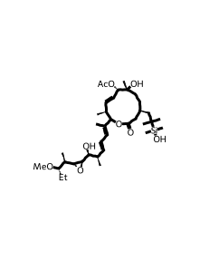 CC[C@H](OC)[C@@H](C)[C@H]1O[C@@H]1[C@@H](O)[C@H](C)/C=C/C=C(\C)C1OC(=O)C[C@H](CC(C)(C)[Si](C)(C)O)CC[C@@](C)(O)[C@@H](OC(C)=O)/C=C/[C@@H]1C